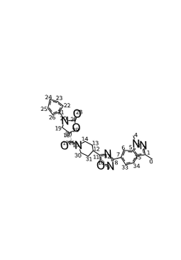 Cc1nn(C)c2cc(-c3noc(C4CCN(C(=O)[C@@H]5CN(c6ccccc6)C(=O)O5)CC4)n3)ccc12